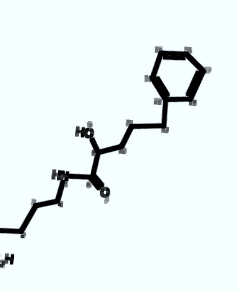 O=C(O)CCCCNC(=O)C(O)CCCc1ccccc1